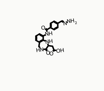 NN=Cc1ccc(C(=O)Nc2cccc3c2NC(CC(=O)O)C(=O)NC3)cc1